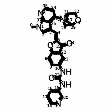 Cn1cc(/C=C2\Oc3ccc(NC(=O)Nc4cccnc4)cc3C2=O)c2c(N3CC4CC3CO4)ccnc21